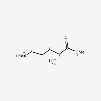 CCCCCCCCCC(=O)OC.O